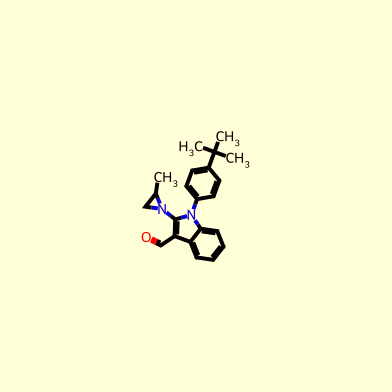 CC1CN1c1c(C=O)c2ccccc2n1-c1ccc(C(C)(C)C)cc1